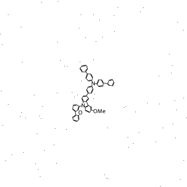 COc1ccc2c(c1)c1cc(-c3ccc(N(c4ccc(-c5ccccc5)cc4)c4ccc(-c5ccccc5)cc4)cc3)ccc1n2-c1cccc2c1oc1ccccc12